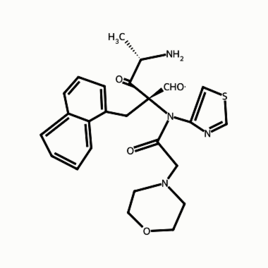 C[C@H](N)C(=O)[C@@]([C]=O)(Cc1cccc2ccccc12)N(C(=O)CN1CCOCC1)c1cscn1